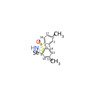 Cc1ccc([SH]2(=O)N[Se]c3cc(C)ccc32)cc1